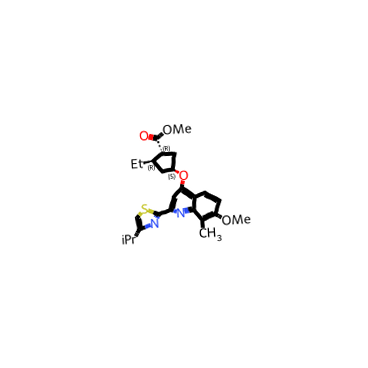 CC[C@@H]1C[C@H](Oc2cc(-c3nc(C(C)C)cs3)nc3c(C)c(OC)ccc23)C[C@H]1C(=O)OC